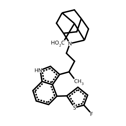 CC(CCN1C2CC3CC(C2)C(C(=O)O)C1C3)c1c[nH]c2cccc(-c3ccc(F)s3)c12